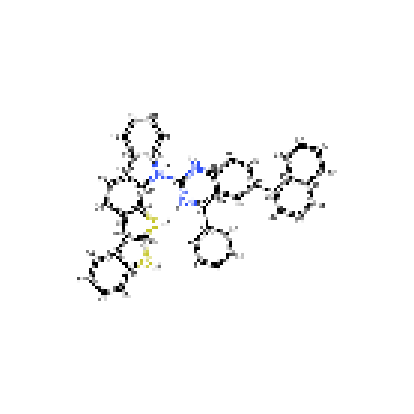 c1ccc(-c2nc(-n3c4ccccc4c4ccc5c(sc6sc7ccccc7c65)c43)nc3ccc(-c4cccc5ccccc45)cc23)cc1